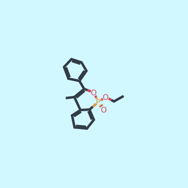 CCOP1(=O)OC(c2ccccc2)=C(C)c2ccccc21